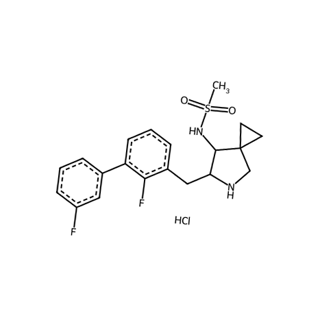 CS(=O)(=O)NC1C(Cc2cccc(-c3cccc(F)c3)c2F)NCC12CC2.Cl